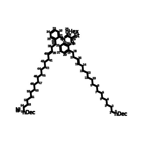 CCCCCCCCCCCCCCCCCCCCCCCCC=CCCc1ccccc1N=C(CC)C(CCCCCC)=Nc1ccccc1CCC=CCCCCCCCCCCCCCCCCCCCCCCCC.[Ni]